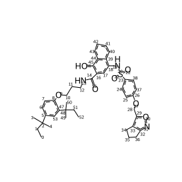 CCC(C)(C)c1ccc(OCCCNC(=O)c2cc(NS(=O)(=O)c3ccc(OCc4onc5c4CCC5)cc3)c3ccccc3c2O)c(C(C)(C)CC)c1